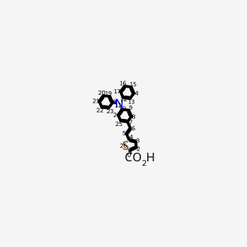 O=C(O)c1ccc(/C=C/c2ccc(N(c3ccccc3)c3ccccc3)cc2)s1